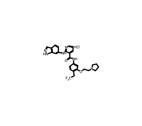 Cl.O=C(Nc1ccc(CC(F)(F)F)c(OCCN2CCCC2)c1)c1cccnc1Nc1ccc2cn[nH]c2c1